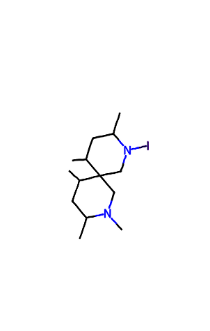 CC1CC(C)C2(CN1C)CN(I)C(C)CC2C